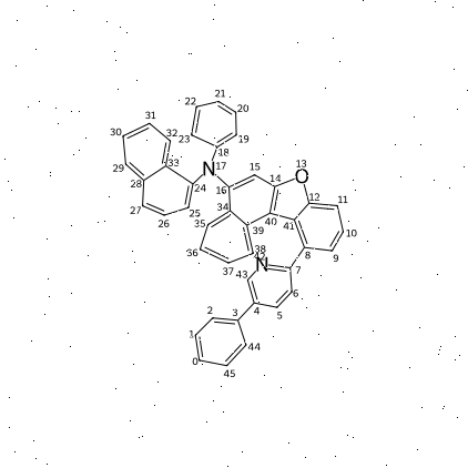 c1ccc(-c2ccc(-c3cccc4oc5cc(N(c6ccccc6)c6cccc7ccccc67)c6ccccc6c5c34)nc2)cc1